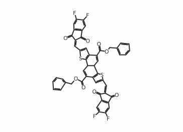 O=C(OCc1ccccc1)C1=CC2c3sc(C=C4C(=O)c5cc(F)c(F)cc5C4=O)cc3C(C(=O)OCc3ccccc3)=CC2c2sc(C=C3C(=O)c4cc(F)c(F)cc4C3=O)cc21